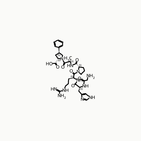 C[C@H](NC(=O)[C@@H]1CCCN1C(=O)[C@H](CCCNC(=N)N)NC(=O)[C@H](Cc1c[nH]cn1)NC(=O)CN)C(=O)N1C[C@H](c2ccccc2)C[C@H]1C(=O)O